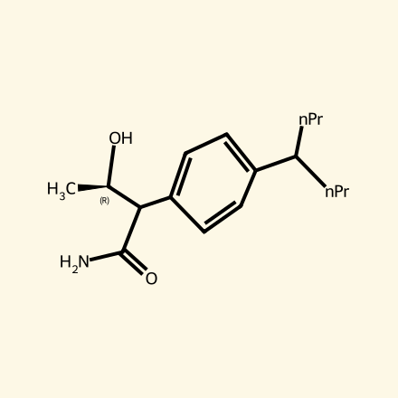 CCCC(CCC)c1ccc(C(C(N)=O)[C@@H](C)O)cc1